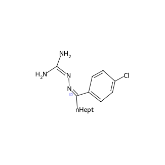 CCCCCCC/C(=N/N=C(N)N)c1ccc(Cl)cc1